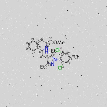 CCc1nn(-c2c(Cl)cc(C(F)(F)F)cc2Cl)c(CC)c1CC1NC(COC)Cc2ccccc21